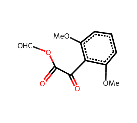 COc1cccc(OC)c1C(=O)C(=O)OC=O